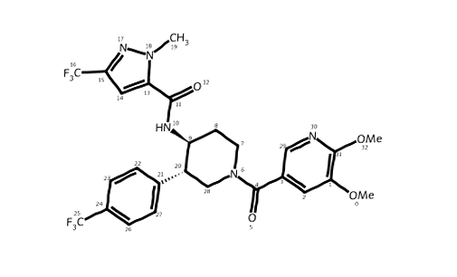 COc1cc(C(=O)N2CC[C@H](NC(=O)c3cc(C(F)(F)F)nn3C)[C@@H](c3ccc(C(F)(F)F)cc3)C2)cnc1OC